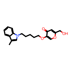 Cc1cn(CCCCCOc2coc(CO)cc2=O)c2ccccc12